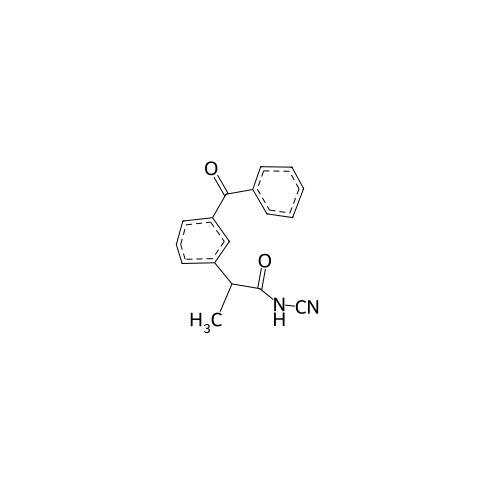 CC(C(=O)NC#N)c1cccc(C(=O)c2ccccc2)c1